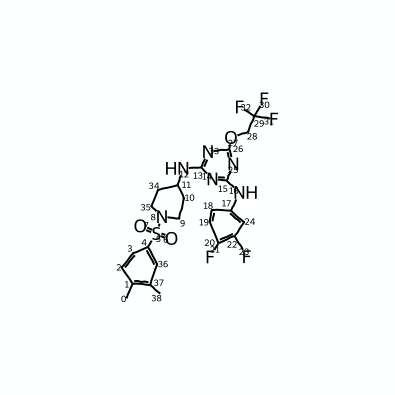 Cc1ccc(S(=O)(=O)N2CCC(Nc3nc(Nc4ccc(F)c(F)c4)nc(OCC(F)(F)F)n3)CC2)cc1C